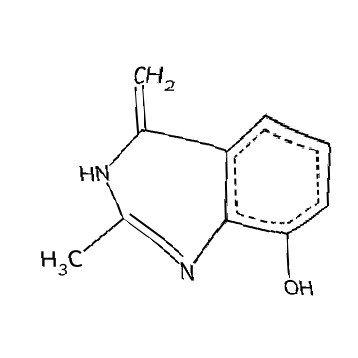 C=C1NC(C)=Nc2c(O)cccc21